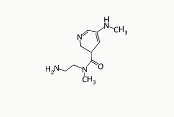 CNC1=CC(C(=O)N(C)CCN)CN=C1